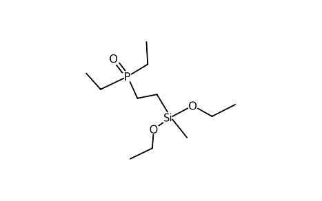 CCO[Si](C)(CCP(=O)(CC)CC)OCC